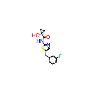 O=C(Nc1ncc(Cc2cccc(F)c2)s1)C1(O)CC1